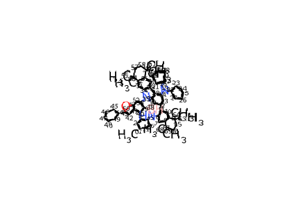 Cc1ccc(Nc2cc3c(cc2-c2cc(N(c4ccccc4)c4ccccc4)c4c5cc6c(cc5n5c4c2Bc2cc4cc(-c7ccccc7)oc4cc2-5)C(C)(C)CCC6(C)C)C(C)(C)CCC3(C)C)cc1